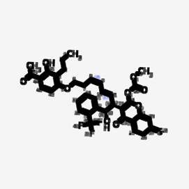 CCCc1c(OCC/C=C\C=C\[C@@H](c2c(OC(=O)OC)oc3c(c2=O)=CCC(=S)C=3)[C@@H](O)c2ccccc2C(F)(F)F)ccc(C(C)=O)c1O